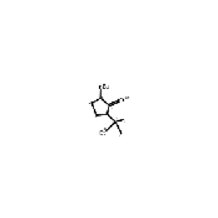 CCCCC1CCC(C(C)(C)CC)C1=O